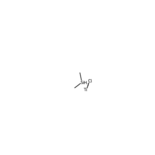 C[SiH2]C.[Cl][Ti]